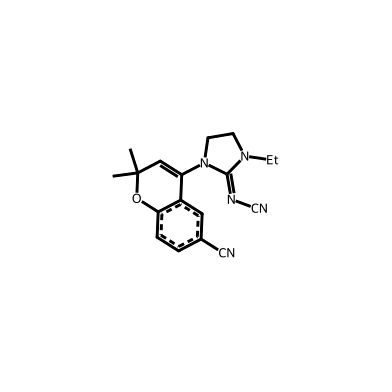 CCN1CCN(C2=CC(C)(C)Oc3ccc(C#N)cc32)C1=NC#N